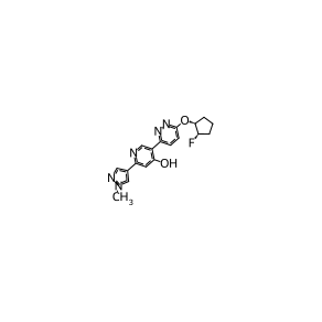 Cn1cc(-c2cc(O)c(-c3ccc(O[C@H]4CCC[C@H]4F)nn3)cn2)cn1